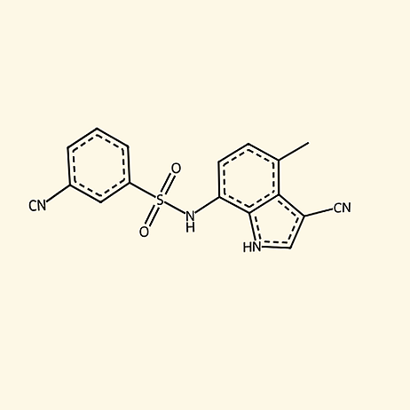 [C-]#[N+]c1cccc(S(=O)(=O)Nc2ccc(C)c3c(C#N)c[nH]c23)c1